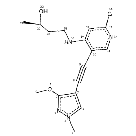 COc1nn(C)cc1C#Cc1cnc(Cl)cc1NCC[C@@H](C)O